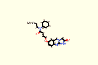 COCCN(C(=O)CCCOc1ccc2c(c1)CN1CC(=O)NC1=N2)C1CCCCC1